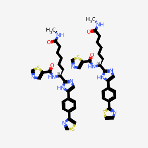 CNC(=O)CCCCC[C@H](NC(=O)c1cncs1)c1ncc(-c2ccc(-c3cscn3)cc2)[nH]1.CNC(=O)CCCCC[C@H](NC(=O)c1cncs1)c1ncc(-c2ccc(-c3nccs3)cc2)[nH]1